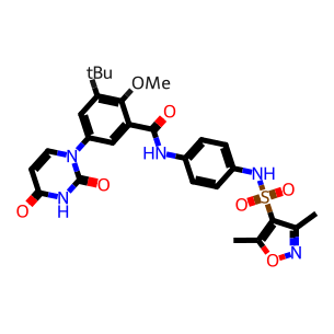 COc1c(C(=O)Nc2ccc(NS(=O)(=O)c3c(C)noc3C)cc2)cc(-n2ccc(=O)[nH]c2=O)cc1C(C)(C)C